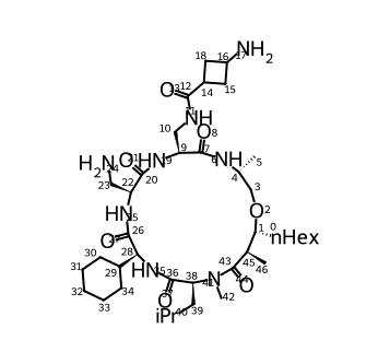 CCCCCC[C@H]1OC[C@@H](C)NC(=O)[C@H](CNC(=O)C2CC(N)C2)NC(=O)[C@H](CN)NC(=O)[C@H](C2CCCCC2)NC(=O)[C@H](CC(C)C)N(C)C(=O)[C@@H]1C